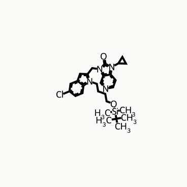 CC(C)(C)[Si](C)(C)OCCCCn1c(Cn2c(=O)n(C3CC3)c3ccncc32)cc2cc(Cl)ccc21